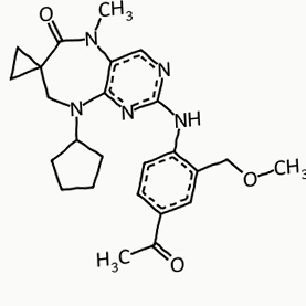 COCc1cc(C(C)=O)ccc1Nc1ncc2c(n1)N(C1CCCC1)CC1(CC1)C(=O)N2C